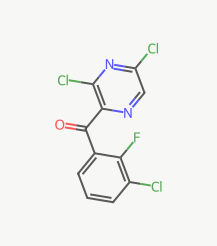 O=C(c1cccc(Cl)c1F)c1ncc(Cl)nc1Cl